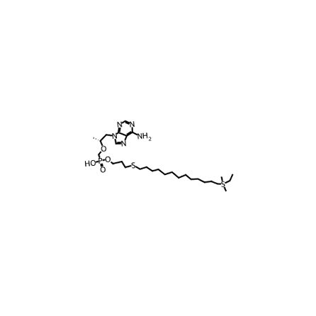 CCS(C)(C)CCCCCCCCCCCCCSCCCOP(=O)(O)CO[C@H](C)Cn1cnc2c(N)ncnc21